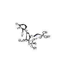 CO[C@@H]1[C@H](OP(O)(=S)OC(C)C)[C@@H](/C=C/P(=O)(O)OC)C[C@@H]1n1ccc(=O)[nH]c1=O